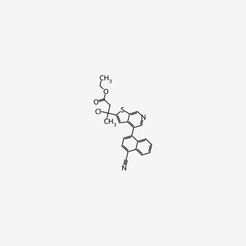 CCOC(=O)CC(C)(Cl)c1cc2c(-c3ccc(C#N)c4ccccc34)cncc2s1